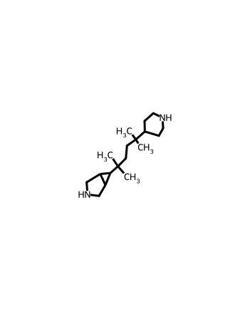 CC(C)(CCC(C)(C)C1C2CNCC21)C1CCNCC1